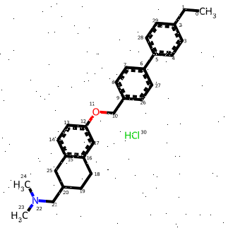 CCc1ccc(-c2ccc(COc3ccc4c(c3)CCC(CN(C)C)C4)cc2)cc1.Cl